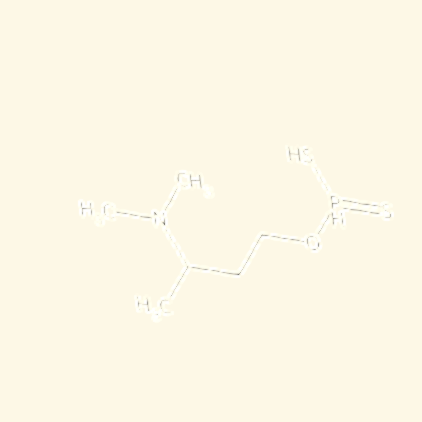 CC(CCO[PH](=S)S)N(C)C